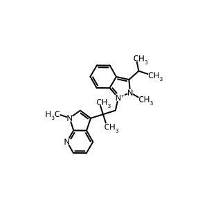 CC(C)c1c2ccccc2[n+](CC(C)(C)c2cn(C)c3ncccc23)n1C